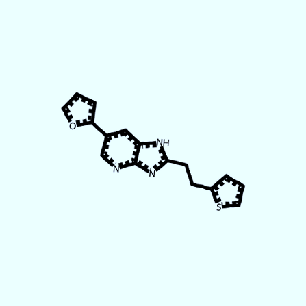 c1coc(-c2cnc3nc(CCc4cccs4)[nH]c3c2)c1